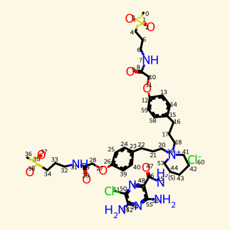 CS(=O)(=O)CCCNC(=O)COc1ccc(CCC[N+]2(CCCc3ccc(OCC(=O)NCCCS(C)(=O)=O)cc3)CCC[C@H](NC(=O)c3nc(Cl)c(N)nc3N)C2)cc1.[Cl-]